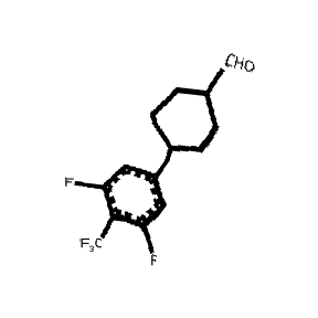 O=CC1CCC(c2cc(F)c(C(F)(F)F)c(F)c2)CC1